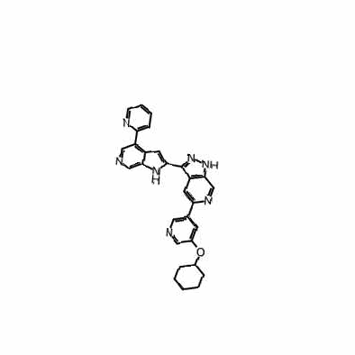 c1ccc(-c2cncc3[nH]c(-c4n[nH]c5cnc(-c6cncc(OC7CCCCC7)c6)cc45)cc23)nc1